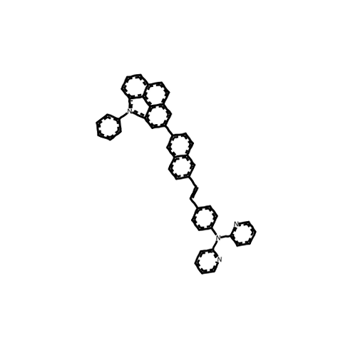 C(=C\c1ccc2cc(-c3cc4ccc5cccc6c5c4c(c3)n6-c3ccccc3)ccc2c1)/c1ccc(N(c2ccccn2)c2ccccn2)cc1